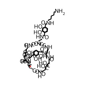 NCCCCCNC(=O)c1ccc(C(=O)NCCN2CCNC=C3NC(=O)c4ccc(c(O)c4O)C(=O)NCCC(CCNC(=O)c4ccc(c(O)c4O)C(=O)NCC2)CCNC(=O)c2ccc(c(O)c2O)C(=O)N3)c(O)c1O